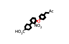 CC(=O)CCc1ccc(Oc2cccc(C3CCC(C(=O)O)CC3)c2[N+](=O)[O-])cc1